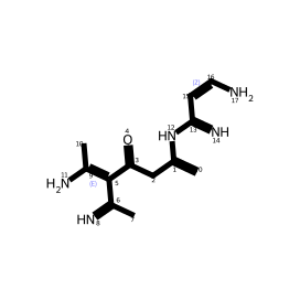 C=C(CC(=O)/C(C(C)=N)=C(\C)N)NC(=N)/C=C\N